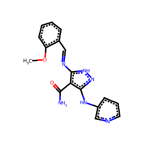 COc1ccccc1/C=N/c1[nH]nc(Nc2cccnc2)c1C(N)=O